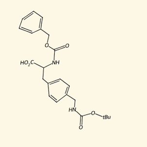 CC(C)(C)OC(=O)NCc1ccc(CC(NC(=O)OCc2ccccc2)C(=O)O)cc1